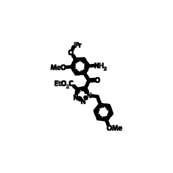 CCOC(=O)c1nnn(Cc2ccc(OC)cc2)c1C(=O)c1cc(OC)c(OC(C)C)cc1N